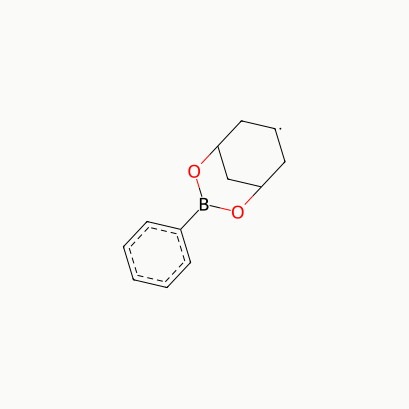 [CH]1CC2CC(C1)OB(c1ccccc1)O2